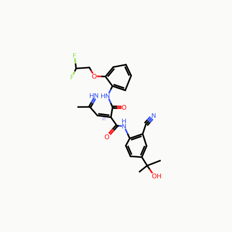 CC(=N)/C=C(/C(=O)Nc1ccc(C(C)(C)O)cc1C#N)C(=O)Nc1ccccc1OCC(F)F